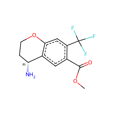 COC(=O)c1cc2c(cc1C(F)(F)F)OCC[C@H]2N